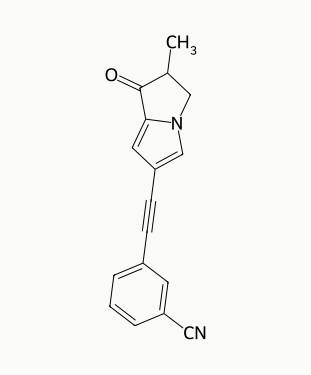 CC1Cn2cc(C#Cc3cccc(C#N)c3)cc2C1=O